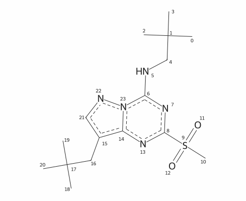 CC(C)(C)CNc1nc(S(C)(=O)=O)nc2c(CC(C)(C)C)cnn12